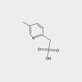 Cc1ccc(CS(=O)(=O)O)nc1